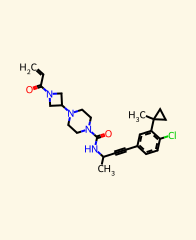 C=CC(=O)N1CC(N2CCN(C(=O)NC(C)C#Cc3ccc(Cl)c(C4(C)CC4)c3)CC2)C1